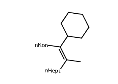 CCCCCCCCCC(=C(C)CCCCCCC)C1CCCCC1